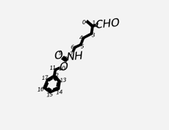 CC(C=O)CCCCNC(=O)OCc1ccccc1